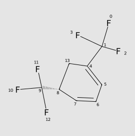 FC(F)(F)C1=CC=C[C@H](C(F)(F)F)C1